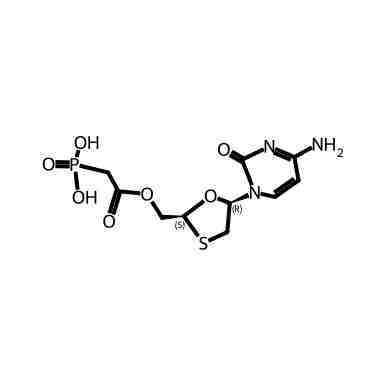 Nc1ccn([C@H]2CS[C@@H](COC(=O)CP(=O)(O)O)O2)c(=O)n1